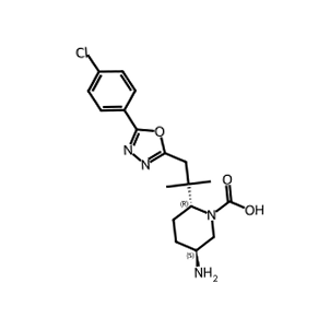 CC(C)(Cc1nnc(-c2ccc(Cl)cc2)o1)[C@H]1CC[C@H](N)CN1C(=O)O